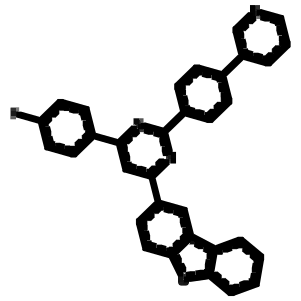 Fc1ccc(-c2cc(-c3ccc4oc5ccccc5c4c3)nc(-c3ccc(-c4cccnc4)cc3)n2)cc1